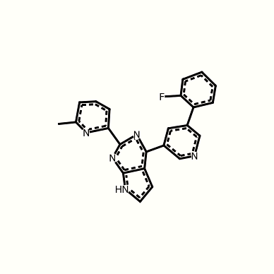 Cc1cccc(-c2nc(-c3cncc(-c4ccccc4F)c3)c3cc[nH]c3n2)n1